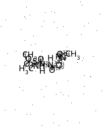 CCOC(=O)C1=C(C)NC(C(=O)NCCNC(=O)c2cccc(-c3noc(CC)n3)c2)S1